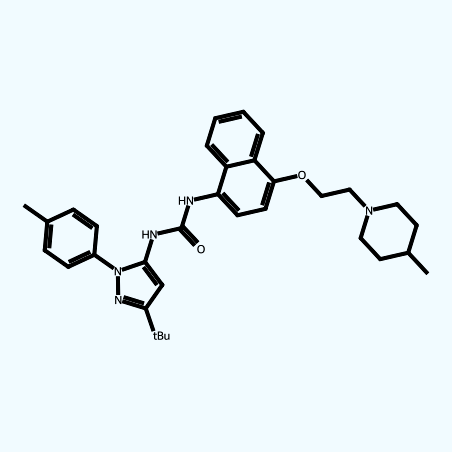 Cc1ccc(-n2nc(C(C)(C)C)cc2NC(=O)Nc2ccc(OCCN3CCC(C)CC3)c3ccccc23)cc1